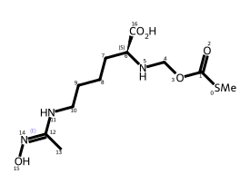 CSC(=O)OCN[C@@H](CCCCN/C(C)=N/O)C(=O)O